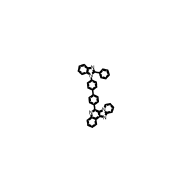 c1ccc(-c2nc3ccccc3n2-c2ccc(-c3ccc(-c4nc5ccccc5c5nc6ccccn6c45)cc3)cc2)cc1